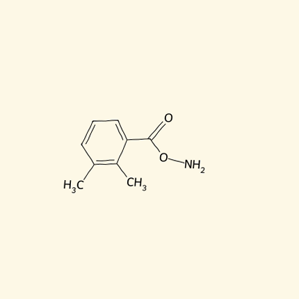 Cc1cccc(C(=O)ON)c1C